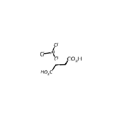 O=C(O)CCC(=O)O.[Cl][Al]([Cl])[Cl]